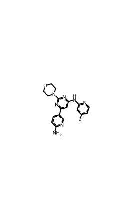 Nc1ccc(-c2cc(Nc3cc(F)ccn3)nc(N3CCOCC3)n2)cn1